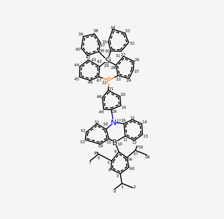 CC(C)c1cc(C(C)C)c(B2c3ccccc3N(c3ccc(P4c5ccccc5[Si](c5ccccc5)(c5ccccc5)c5ccccc54)cc3)c3ccccc32)c(C(C)C)c1